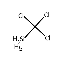 [Hg].[SiH3]C(Cl)(Cl)Cl